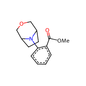 COC(=O)c1ccccc1N1C2CCC1COC2